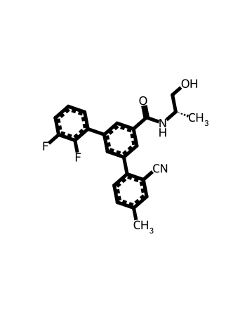 Cc1ccc(-c2cc(C(=O)N[C@@H](C)CO)cc(-c3cccc(F)c3F)c2)c(C#N)c1